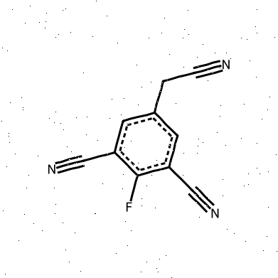 N#CCc1cc(C#N)c(F)c(C#N)c1